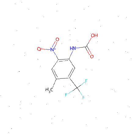 Cc1cc([N+](=O)[O-])c(NC(=O)O)cc1C(F)(F)F